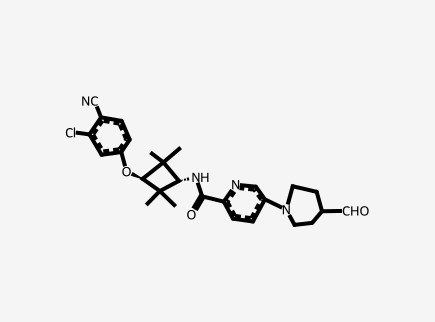 CC1(C)[C@H](NC(=O)c2ccc(N3CCC(C=O)CC3)cn2)C(C)(C)[C@H]1Oc1ccc(C#N)c(Cl)c1